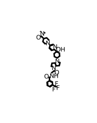 CN(C)C(=O)C1CCN(c2ccc(C3(O)CCC(N4CCC5C4CCN5C(=O)CNC(=O)c4cccc(C(F)(F)F)c4)CC3)nc2)CC1